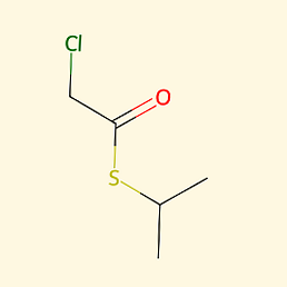 CC(C)SC(=O)CCl